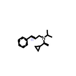 C=C(C1CC1)N(C/C=C/c1ccccc1)C(C)C